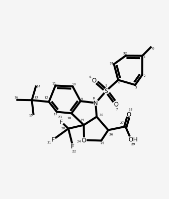 Cc1ccc(S(=O)(=O)N2c3ccc(C(C)(C)C)cc3C3(C(F)(F)F)OCC(C(=O)O)C23)cc1